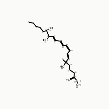 CCCCC[C@@H](O)[C@H](O)/C=C/C=C/C=C\C=C\C(C)(O)CCCC(=O)NO